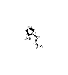 CCCSSN1C=NCC1.[Na]